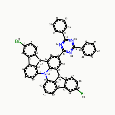 Brc1ccc2c(c1)-c1cccc3c1B2c1cc(-c2nc(-c4ccccc4)nc(-c4ccccc4)n2)cc2c1N3c1cccc3c1B2c1ccc(Br)cc1-3